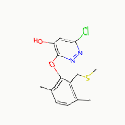 CSCc1c(C)ccc(C)c1Oc1nnc(Cl)cc1O